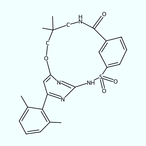 Cc1cccc(C)c1-c1cc2nc(n1)NS(=O)(=O)c1cccc(c1)C(=O)NCC(C)(C)CO2